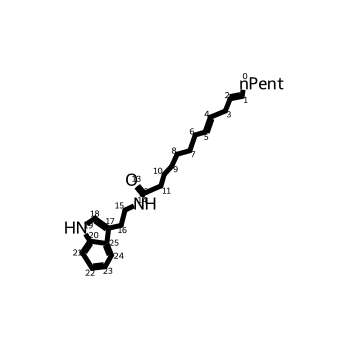 CCCCC/C=C/C/C=C/CCCCCCC(=O)NCCc1c[nH]c2ccccc12